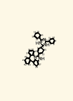 C1=CC(C2NC(c3ccccc3)=NC(c3ccccc3)N2)CC=C1C1NC2=CCCC3=C2N1c1ccccc1-c1ccccc13